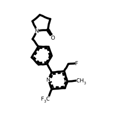 Cc1cc(C(F)(F)F)nc(-c2ccc(CN3CCCC3=O)cc2)c1CF